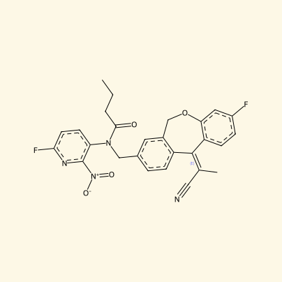 CCCC(=O)N(Cc1ccc2c(c1)COc1cc(F)ccc1/C2=C(\C)C#N)c1ccc(F)nc1[N+](=O)[O-]